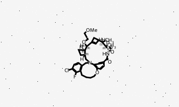 COCCO[C@H]1C2=C[C@@H](C2)[C@H](C)[C@@H](C)S(=O)(=O)NC(=O)c2ccc3c(c2)N(Cc2ccc(Cl)c(F)c2CCCCO3)C[C@@H]2CC[C@H]21